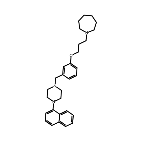 c1cc(CN2CCN(c3cccc4ccccc34)CC2)cc(OCCCN2CCCCCC2)c1